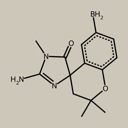 Bc1ccc2c(c1)C1(CC(C)(C)O2)N=C(N)N(C)C1=O